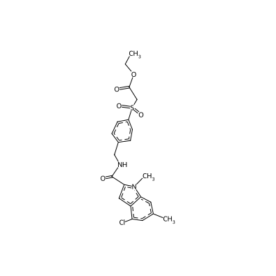 CCOC(=O)CS(=O)(=O)c1ccc(CNC(=O)c2cc3c(Cl)cc(C)cc3n2C)cc1